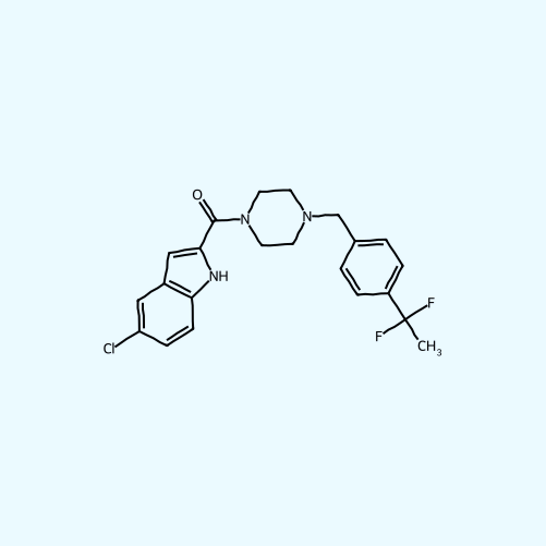 CC(F)(F)c1ccc(CN2CCN(C(=O)c3cc4cc(Cl)ccc4[nH]3)CC2)cc1